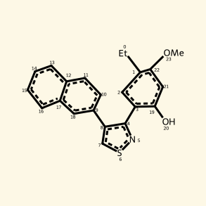 CCc1cc(-c2nscc2-c2ccc3ccccc3c2)c(O)cc1OC